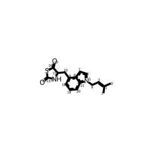 CC(C)=CCn1ccc2c(CC3NC(=O)SC3=O)cccc21